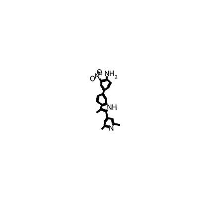 Cc1cc(-c2[nH]c3cc(-c4ccc(N)c([N+](=O)[O-])c4)ccc3c2C)cc(C)n1